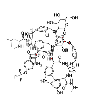 CN[C@H](CC(C)C)C(=O)N[C@H]1C(=O)N[C@@H](CC(N)=O)C(=O)N[C@H]2C(=O)N[C@H]3C(=O)N[C@H](C(=O)N[C@@H](C(=O)NN(C)C)c4cc(O)cc(O)c4-c4cc3ccc4O)[C@H](O)c3ccc(c(Cl)c3)Oc3cc2cc(c3O[C@@H]2O[C@H](CO)[C@@H](O)[C@H](O)[C@H]2O[C@H]2C[C@](C)(NCc3cccc(NC(=O)c4ccc(OC(F)(F)F)cc4)c3)[C@H](O)[C@H](C)O2)Oc2ccc(cc2Cl)[C@H]1O